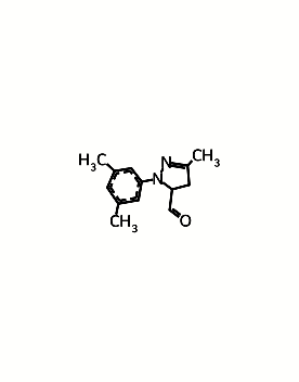 CC1=NN(c2cc(C)cc(C)c2)C(C=O)C1